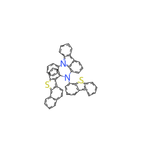 c1ccc(-n2c3ccccc3c3cccc(N(c4cccc5c4sc4ccccc45)c4cccc5sc6c7ccccc7ccc6c45)c32)cc1